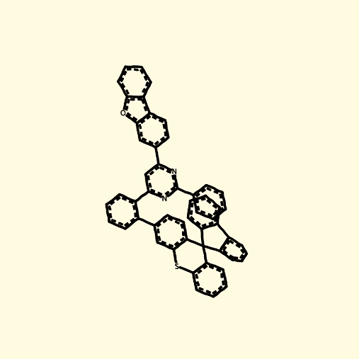 c1ccc(-c2nc(-c3ccc4c(c3)oc3ccccc34)cc(-c3ccccc3-c3ccc4c(c3)Sc3ccccc3C43c4ccccc4-c4ccccc43)n2)cc1